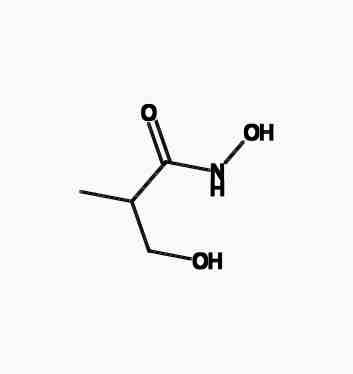 CC(CO)C(=O)NO